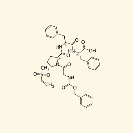 C=CS(C)(=O)=O.O=C(NCC(=O)N1CCC[C@H]1C(=O)N[C@@H](Cc1ccccc1)C(=O)N[C@@H](Cc1ccccc1)C(=O)O)OCc1ccccc1